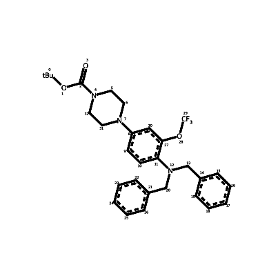 CC(C)(C)OC(=O)N1CCN(c2ccc(N(Cc3ccccc3)Cc3ccccc3)c(OC(F)(F)F)c2)CC1